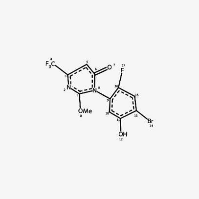 COc1nc(C(F)(F)F)cc(=O)n1-c1cc(O)c(Br)cc1F